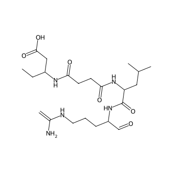 C=C(N)NCCCC(C=O)NC(=O)C(CC(C)C)NC(=O)CCC(=O)NC(CC)CC(=O)O